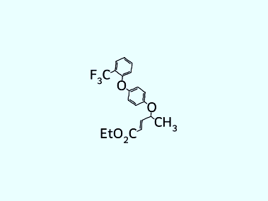 CCOC(=O)C=CC(C)Oc1ccc(Oc2ccccc2C(F)(F)F)cc1